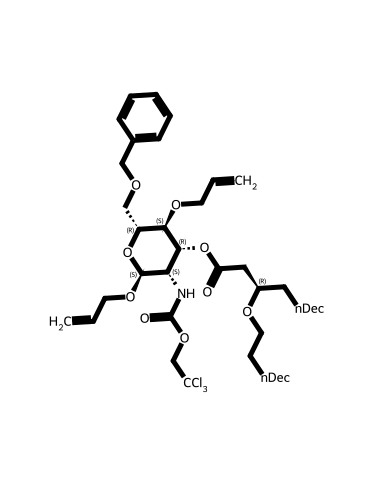 C=CCO[C@H]1O[C@H](COCc2ccccc2)[C@@H](OCC=C)[C@H](OC(=O)C[C@@H](CCCCCCCCCCC)OCCCCCCCCCCCC)[C@@H]1NC(=O)OCC(Cl)(Cl)Cl